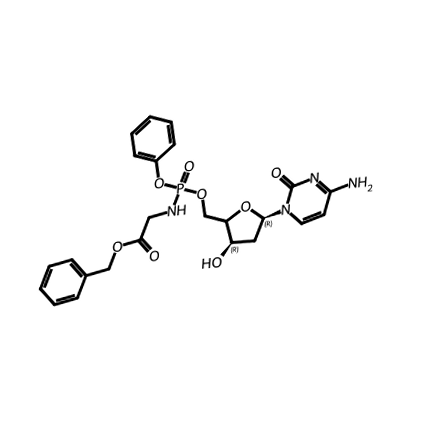 Nc1ccn([C@H]2C[C@@H](O)C(COP(=O)(NCC(=O)OCc3ccccc3)Oc3ccccc3)O2)c(=O)n1